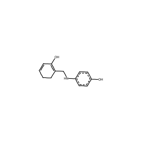 OC1=C(CNc2ccc(O)cc2)CCC=C1